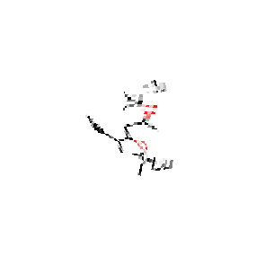 CC#CC(C)C(CC(C)O[Si](C)(C)C(C)(C)C)O[Si](C)(C)C(C)(C)C